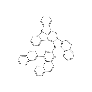 c1ccc2cc(-c3nc(-n4c5c6ccccc6ccc5c5cc6c7ccccc7n7c8ccccc8c(c54)c67)nc4ccc5ccccc5c34)ccc2c1